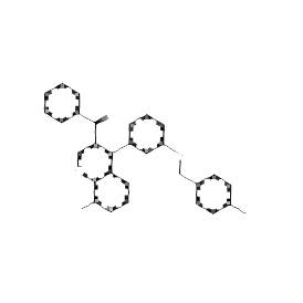 CC(C)c1ccc(CNc2cccc(-c3c(C(=O)c4ccccc4)cnc4c(C(F)(F)F)cccc34)c2)cc1